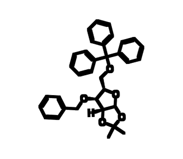 CC1(C)OC2O[C@H](COC(c3ccccc3)(c3ccccc3)c3ccccc3)[C@H](OCc3ccccc3)[C@H]2O1